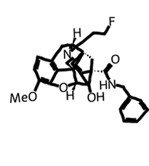 COc1ccc2c3c1O[C@H]1C4(O)C5=C[C@@]6(C[C@]54C(=O)NCc4ccccc4)[C@@H](C2)N(CCF)CC[C@]316